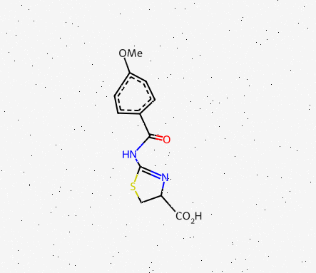 COc1ccc(C(=O)NC2=NC(C(=O)O)CS2)cc1